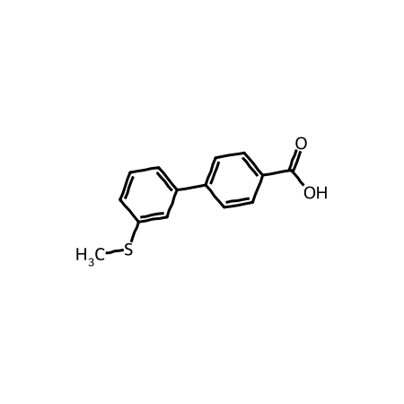 CSc1cccc(-c2ccc(C(=O)O)cc2)c1